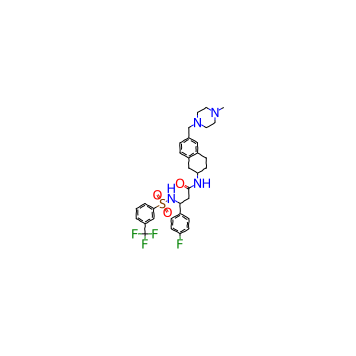 CN1CCN(Cc2ccc3c(c2)CCC(NC(=O)CC(NS(=O)(=O)c2cccc(C(F)(F)F)c2)c2ccc(F)cc2)C3)CC1